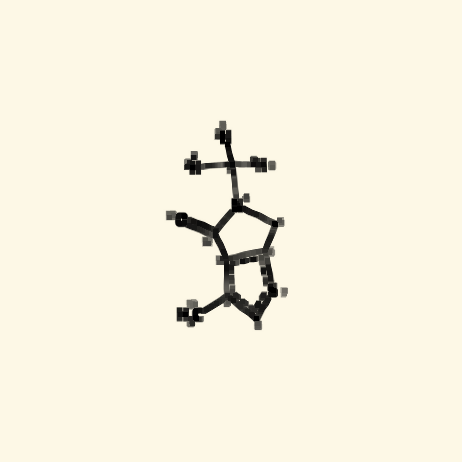 [2H]C([2H])([2H])N1Cc2scc(C)c2C1=O